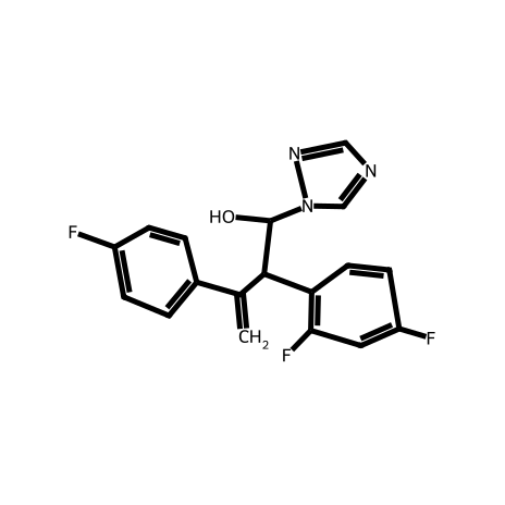 C=C(c1ccc(F)cc1)C(c1ccc(F)cc1F)C(O)n1cncn1